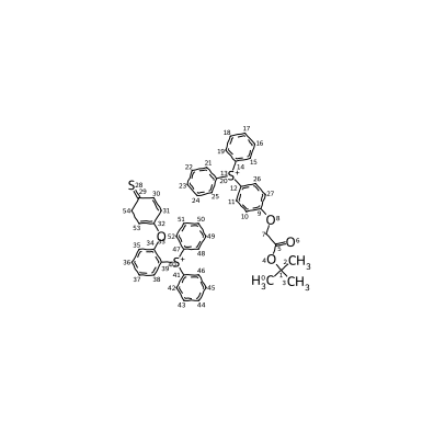 CC(C)(C)OC(=O)COc1ccc([S+](c2ccccc2)c2ccccc2)cc1.S=C1C=CC(Oc2ccccc2[S+](c2ccccc2)c2ccccc2)=CC1